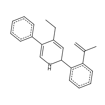 C=C(C)c1ccccc1C1C=C(CC)C(c2ccccc2)=CN1